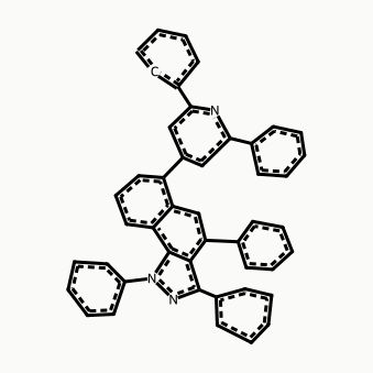 c1ccc(-c2cc(-c3cccc4c3cc(-c3ccccc3)c3c(-c5ccccc5)nn(-c5ccccc5)c34)cc(-c3ccccc3)n2)cc1